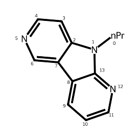 CCCn1c2ccncc2c2cccnc21